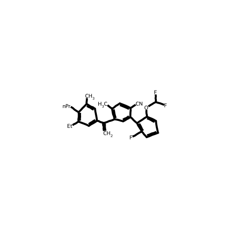 C=C(c1cc(C)c(CCC)c(CC)c1)c1cc(-c2c(F)cccc2OC(F)F)c(C#N)cc1C